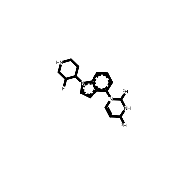 [2H]C1C=CN(c2cccc3c2ccn3C2CCNCC2F)C([2H])N1